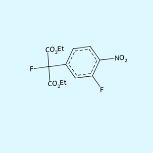 CCOC(=O)C(F)(C(=O)OCC)c1ccc([N+](=O)[O-])c(F)c1